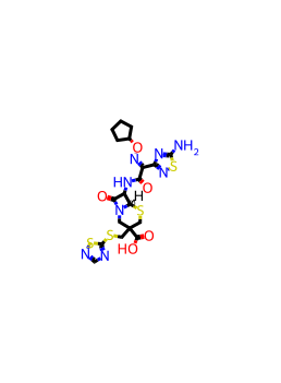 Nc1nc(C(=NOC2CCCC2)C(=O)NC2C(=O)N3CC(CSc4ncns4)(C(=O)O)CS[C@H]23)ns1